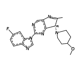 COC1CCN([C@H]2C(C)=Nc3cnc(-n4cnc5ccc(F)cc54)nc32)CC1